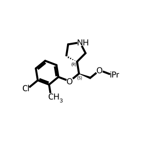 Cc1c(Cl)cccc1O[C@H](COC(C)C)[C@@H]1CCNC1